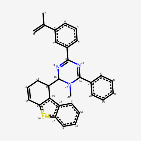 C=C(C)c1cccc(C2=NC(C3CC=Cc4sc5ccccc5c43)N(C)C(c3ccccc3)=N2)c1